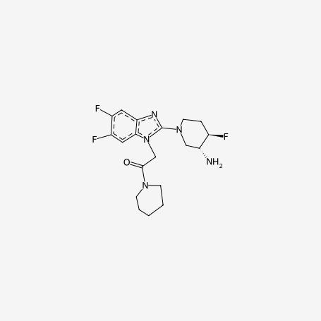 N[C@@H]1CN(c2nc3cc(F)c(F)cc3n2CC(=O)N2CCCCC2)CC[C@H]1F